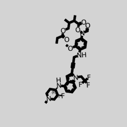 CCC(=O)OCC(C)C(C)C(=O)ON(C=O)c1ccc(NCC#Cc2cc3c(N[C@@H]4CCN(C)C[C@@H]4F)cccc3n2CC(F)(F)F)c(OC)c1